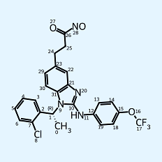 C[C@H](c1ccccc1Cl)n1c(Nc2ccc(OC(F)(F)F)cc2)nc2cc(CCC(=O)N=O)ccc21